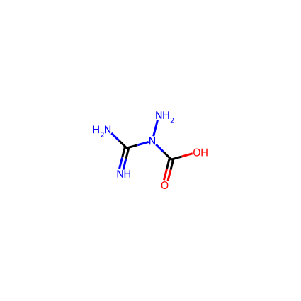 N=C(N)N(N)C(=O)O